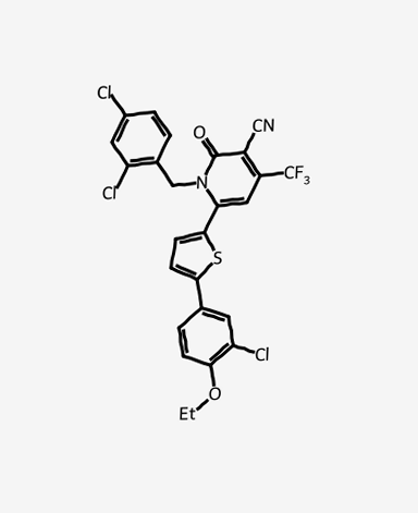 CCOc1ccc(-c2ccc(-c3cc(C(F)(F)F)c(C#N)c(=O)n3Cc3ccc(Cl)cc3Cl)s2)cc1Cl